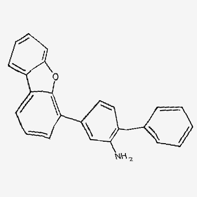 Nc1cc(-c2cccc3c2oc2ccccc23)ccc1-c1ccccc1